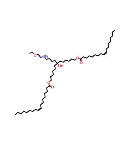 CCCCCCCC/C=C\CCCCCCCC(=O)OCCCCCCC(O)(CCCCCCOC(=O)CCCCCCC/C=C\CCCCCCCC)CCCCNCCOCC